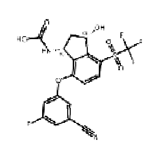 N#Cc1cc(F)cc(Oc2ccc(S(=O)(=O)C(F)(F)F)c3c2[C@H](NC(=O)O)C[C@@H]3O)c1